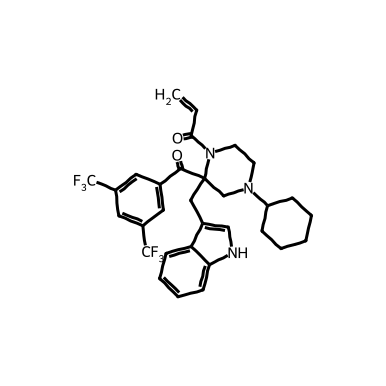 C=CC(=O)N1CCN(C2CCCCC2)CC1(Cc1c[nH]c2ccccc12)C(=O)c1cc(C(F)(F)F)cc(C(F)(F)F)c1